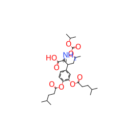 CC(C)CCC(=O)Oc1ccc(C(CC(C)OC(=O)OC(C)C)[C@H](N)C(=O)O)cc1OC(=O)CCC(C)C